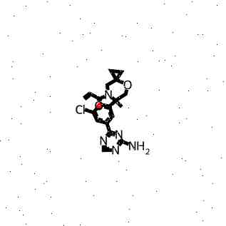 C=CC(=O)N1CC2(CC2)OCC1(C)c1cc(Cl)cc(-c2ncnc(N)n2)c1